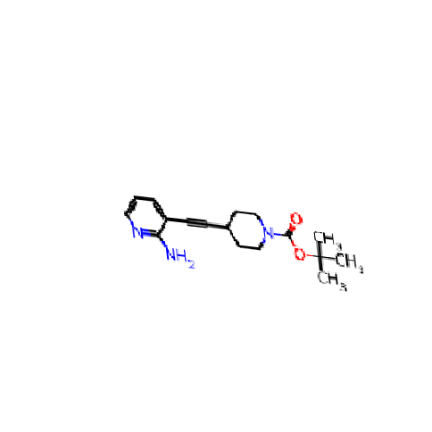 CC(C)(C)OC(=O)N1CCC(C#Cc2cccnc2N)CC1